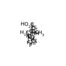 Cc1nn(C)c(Oc2cccc(C(F)F)c2)c1C(=O)N[C@@H](C)c1ccc(C(=O)O)cc1